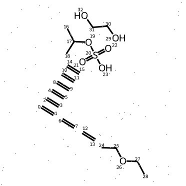 C=C.C=C.C=C.C=C.C=C.C=C.C=C.C=C.CC(C)OS(=O)(=O)O.CCOCC.OCCO